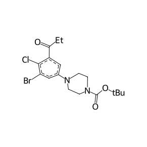 CCC(=O)c1cc(N2CCN(C(=O)OC(C)(C)C)CC2)cc(Br)c1Cl